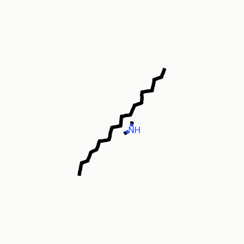 CCCCCCCCCCCCCCCCCC.CNC